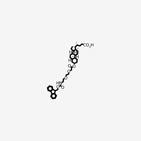 C[C@H](CCC(=O)O)[C@H]1CC[C@H]2[C@@H]3CC[C@@H]4C[C@@H](OC(=O)COCCOCCNC(=O)OCC5c6ccccc6-c6ccccc65)CC[C@]4(C)[C@H]3CC[C@]12C